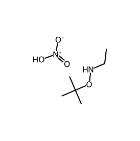 CCNOC(C)(C)C.O=[N+]([O-])O